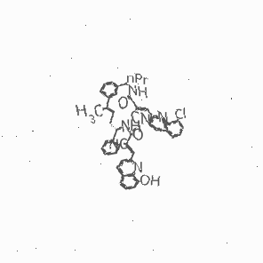 CCC[C@H](NC(=O)/C(C#N)=C/c1ccc2cccc(Cl)c2n1)c1cccc(C(C)CC[C@H](NC(=O)/C(C#N)=C/c2ccc3cccc(O)c3n2)c2ccccc2)c1